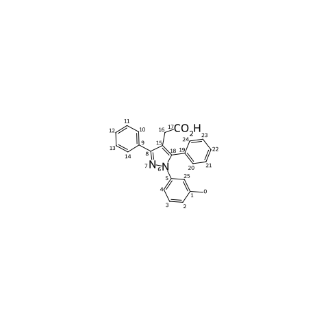 Cc1cccc(-n2nc(-c3ccccc3)c(CC(=O)O)c2-c2ccccc2)c1